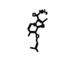 CC(C)=CCOc1c(C)ccn2c(C(N)=O)c(C)nc12